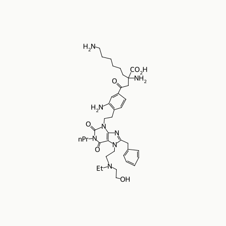 CCCn1c(=O)c2c(nc(Cc3ccccc3)n2CCN(CC)CCO)n(CCc2ccc(C(=O)CC(N)(CCCCCCN)C(=O)O)cc2N)c1=O